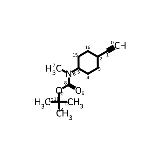 C#CC1CCC(N(C)C(=O)OC(C)(C)C)CC1